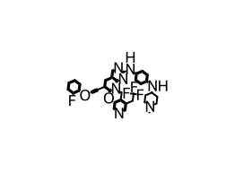 CN1CCC(Nc2ccc(Nc3ncc4cc(C#COc5ccccc5F)c(=O)n(Cc5ccncc5CC(F)(F)F)c4n3)cc2)CC1